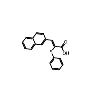 O=C(O)C(=Cc1ccc2ccccc2c1)Sc1ccccc1